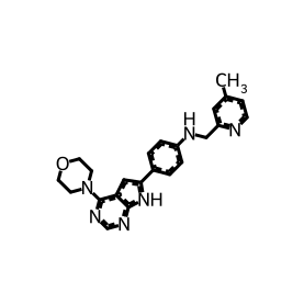 Cc1ccnc(CNc2ccc(-c3cc4c(N5CCOCC5)ncnc4[nH]3)cc2)c1